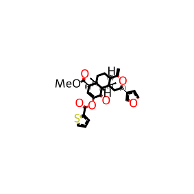 C=C1O[C@H](c2ccoc2)C[C@]2(C)[C@H]3C(=O)C(OC(=O)c4cccs4)=C[C@@H](C(=O)OC)[C@]3(C)CC[C@@H]12